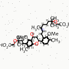 COc1c(C)ccc(C2CC(=O)c3c(cc(C)c(CCC(C)(C)OCC(=O)O)c3OC)O2)c1C/C=C(\C)CCCC(C)(C)OCC(=O)O